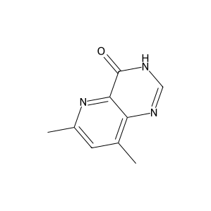 Cc1cc(C)c2nc[nH]c(=O)c2n1